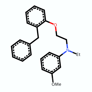 CCN(CCOc1ccccc1Cc1ccccc1)c1cccc(OC)c1